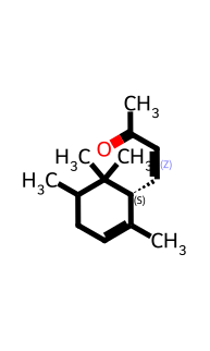 CC(=O)/C=C\[C@@H]1C(C)=CCC(C)C1(C)C